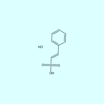 Cl.O=S(=O)(O)C=Cc1ccccc1